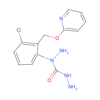 NNC(=O)N(N)c1cccc(Cl)c1COc1ccccn1